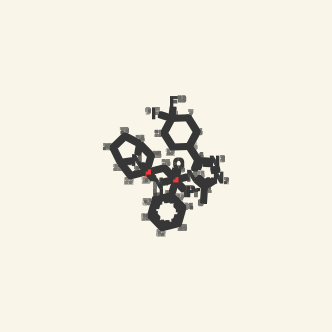 Cc1nnc(C2CCC(F)(F)CC2)n1C(CCN1C2CCC1CC(NC(=O)C(C)C)C2)c1ccccc1